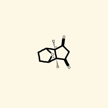 O=C1CC(=O)[C@H]2C3CCC(O3)[C@@H]12